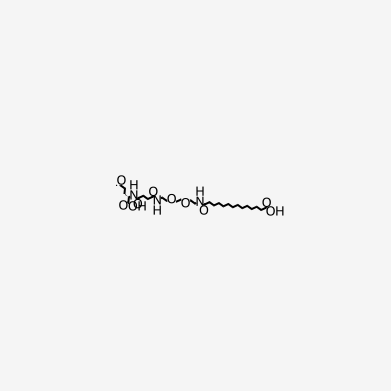 O=[C]CC[C@H](NC(=O)CCC(=O)NCCOCCOCCNC(=O)CCCCCCCCCCCCC(=O)O)C(=O)O